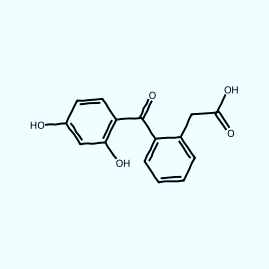 O=C(O)Cc1ccccc1C(=O)c1ccc(O)cc1O